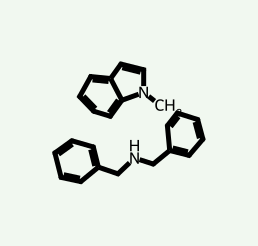 Cn1ccc2ccccc21.c1ccc(CNCc2ccccc2)cc1